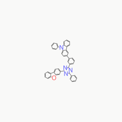 c1ccc(-c2nc(-c3cccc(-c4ccc5c(c4)c4ccccc4n5-c4ccccc4)c3)nc(-c3ccc4c(c3)oc3ccccc34)n2)cc1